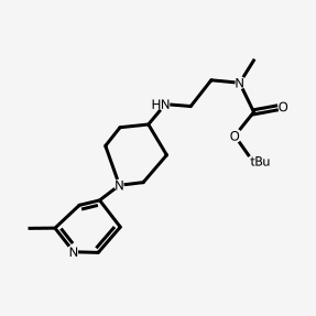 Cc1cc(N2CCC(NCCN(C)C(=O)OC(C)(C)C)CC2)ccn1